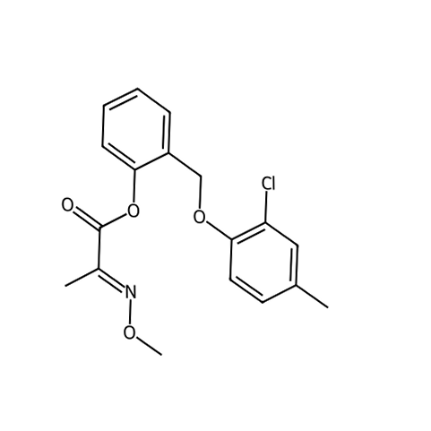 CON=C(C)C(=O)Oc1ccccc1COc1ccc(C)cc1Cl